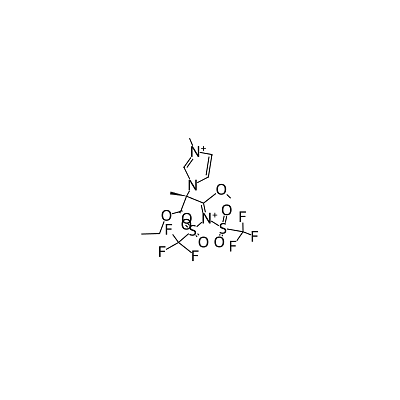 CCOC(=O)[C@@](C)(C(OC)=[N+](S(=O)(=O)C(F)(F)F)S(=O)(=O)C(F)(F)F)n1cc[n+](C)c1